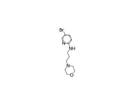 Brc1ccc(NCCCN2CCOCC2)nc1